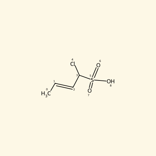 C/C=C/C(Cl)S(=O)(=O)O